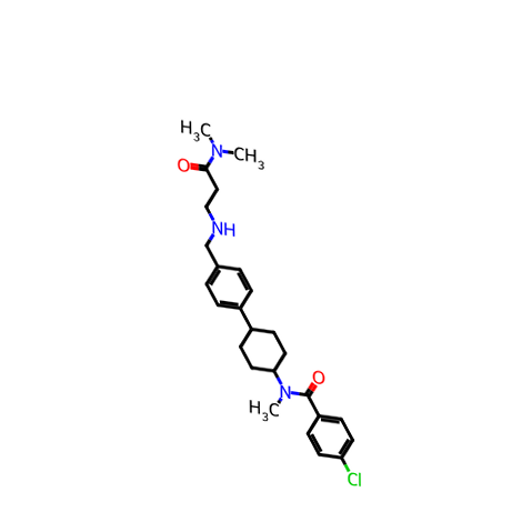 CN(C)C(=O)CCNCc1ccc(C2CCC(N(C)C(=O)c3ccc(Cl)cc3)CC2)cc1